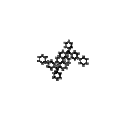 c1ccc(N(c2ccc(C3CCCCC3)cc2)c2ccc3ccc4c(N(c5ccccc5)c5ccc(C6CCCCC6)cc5)ccc5ccc2c3c54)cc1